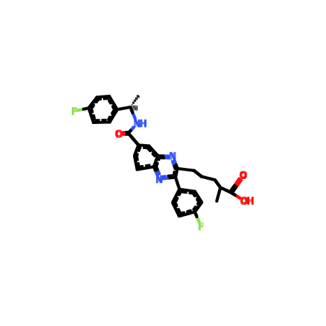 CC(CCCc1nc2cc(C(=O)N[C@@H](C)c3ccc(F)cc3)ccc2nc1-c1ccc(F)cc1)C(=O)O